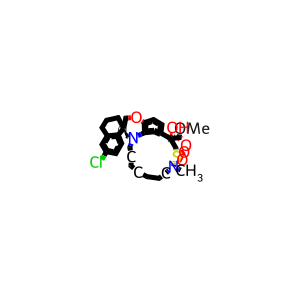 COC(=O)[C@]1(O)CS(=O)(=O)N(C)CCCCCCCN2C[C@@]3(CCCc4cc(Cl)ccc43)COc3ccc1cc32